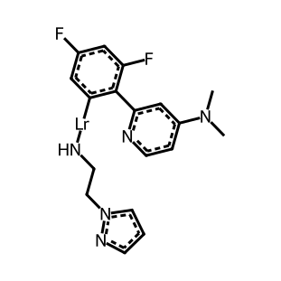 CN(C)c1ccnc(-c2c(F)cc(F)c[c]2[Lr][NH]CCn2cccn2)c1